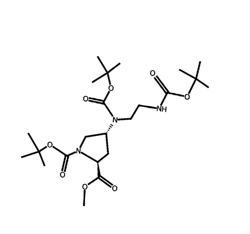 COC(=O)[C@@H]1C[C@@H](N(CCNC(=O)OC(C)(C)C)C(=O)OC(C)(C)C)CN1C(=O)OC(C)(C)C